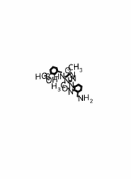 COc1nnc(-n2c(OC)nc3c(CN)cccc32)nc1NCc1cccc(B(O)O)c1